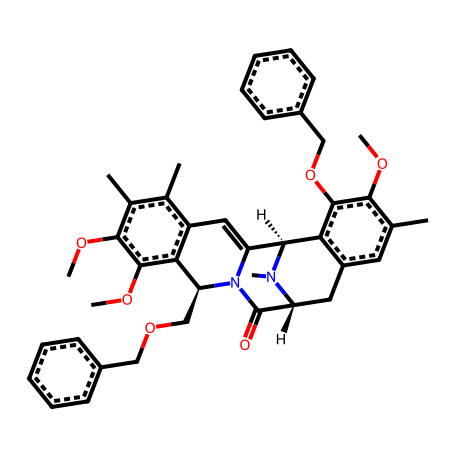 COc1c(C)cc2c(c1OCc1ccccc1)[C@@H]1C3=Cc4c(C)c(C)c(OC)c(OC)c4[C@H](COCc4ccccc4)N3C(=O)[C@@H](C2)N1C